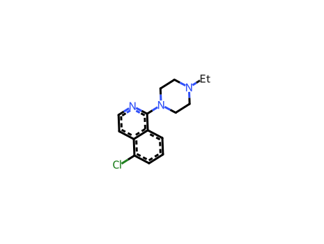 CCN1CCN(c2nccc3c(Cl)cccc23)CC1